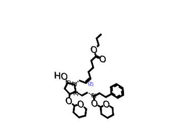 CCCOC(=O)CCC/C=C\C[C@H]1[C@@H](O)CC(OC2CCCCO2)[C@@H]1CC[C@H](CCc1ccccc1)OC1CCCCO1